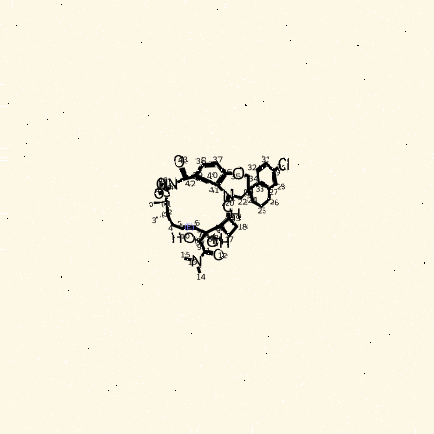 C[C@@H]1[C@@H](C)C/C=C/[C@@](O)([C@@H](O)C(=O)N(C)C)[C@@H]2CC[C@H]2CN2C[C@@]3(CCCc4cc(Cl)ccc43)COc3ccc(cc32)C(=O)NS1(=O)=O